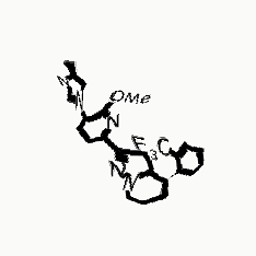 COc1nc(C2=NN3CCC[C@@H](c4ccccc4C(F)(F)F)C3C2)ccc1-n1cnc(C)c1